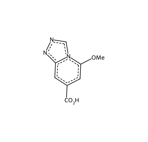 COc1cc(C(=O)O)cc2nncn12